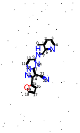 Cc1cccnc1CNc1ccn2nc(-c3ccco3)c(C#N)c2n1